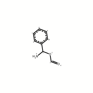 N[C](OC=O)c1ccccc1